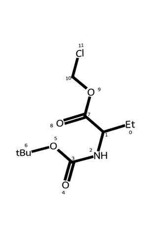 CCC(NC(=O)OC(C)(C)C)C(=O)OCCl